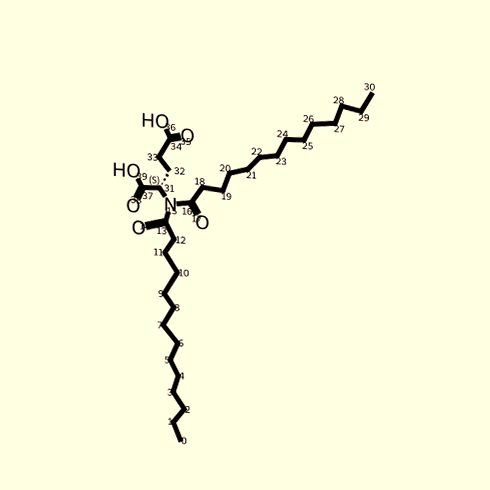 CCCCCCCCCCCCCC(=O)N(C(=O)CCCCCCCCCCCCC)[C@@H](CCC(=O)O)C(=O)O